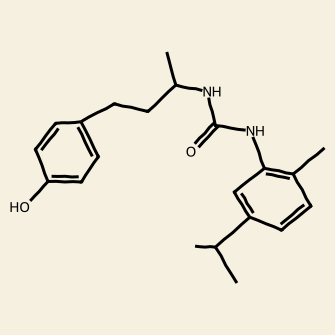 Cc1ccc(C(C)C)cc1NC(=O)NC(C)CCc1ccc(O)cc1